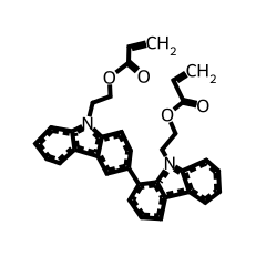 C=CC(=O)OCCn1c2ccccc2c2cc(-c3cccc4c5ccccc5n(CCOC(=O)C=C)c34)ccc21